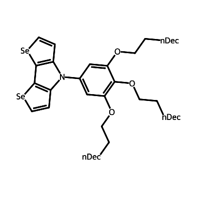 CCCCCCCCCCCCOc1cc(-n2c3cc[se]c3c3[se]ccc32)cc(OCCCCCCCCCCCC)c1OCCCCCCCCCCCC